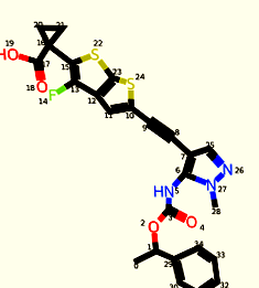 CC(OC(=O)Nc1c(C#Cc2cc3c(F)c(C4(C(=O)O)CC4)sc3s2)cnn1C)c1ccccc1